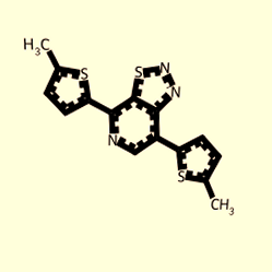 Cc1ccc(-c2cnc(-c3ccc(C)s3)c3snnc23)s1